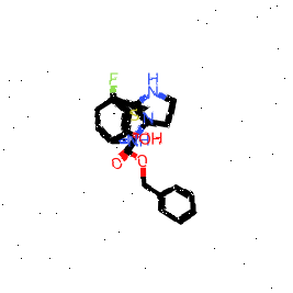 O=C(OCc1ccccc1)N1SCC23NCCC12NC1=CCC3(F)C=C1O